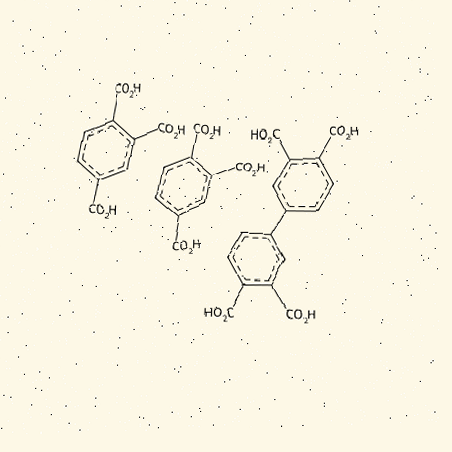 O=C(O)c1ccc(-c2ccc(C(=O)O)c(C(=O)O)c2)cc1C(=O)O.O=C(O)c1ccc(C(=O)O)c(C(=O)O)c1.O=C(O)c1ccc(C(=O)O)c(C(=O)O)c1